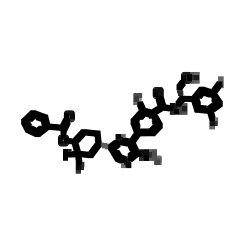 Nc1ncc([C@H]2CC[C@H](OC(=O)c3ccccc3)C(F)(F)C2)nc1-c1ccc(C(=O)N[C@H](CO)c2cc(F)cc(I)c2)c(F)c1